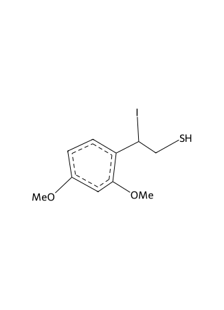 COc1ccc(C(I)CS)c(OC)c1